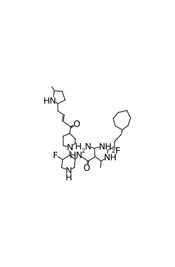 CC1CCC(C/C=C/C(=O)C2CCN(C3C(F)CNCC3NC(=O)C(C(N)N)C(C)NCC(F)CCC3CCCCCC3)CC2)N1